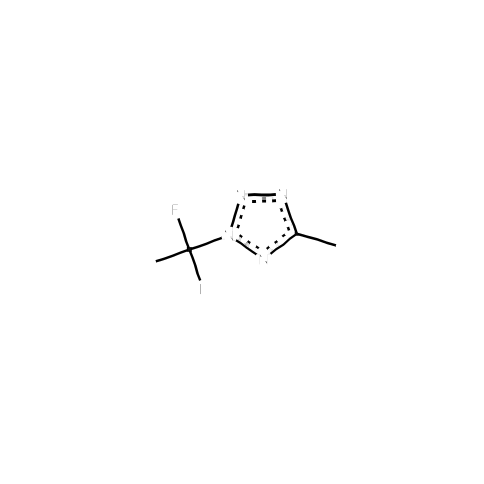 Cc1nnn(C(F)(F)F)n1